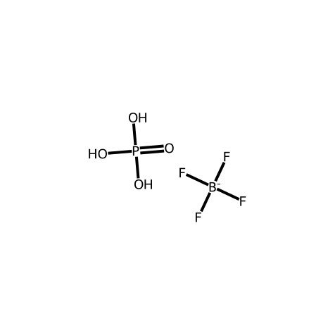 F[B-](F)(F)F.O=P(O)(O)O